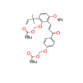 C=CC(C)(C)c1ccc(OC(C)C)c(C=CC(=O)c2ccc(OCOC(=O)C(C)(C)C)cc2)c1OCOC(=O)C(C)(C)C